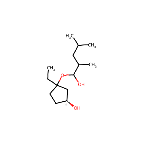 CCC1(OC(O)C(C)CC(C)C)CC[C@H](O)C1